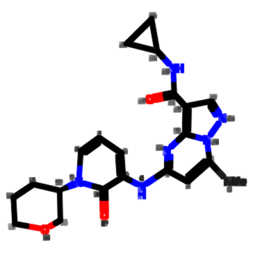 CNc1cc(Nc2cccn([C@@H]3CCCOC3)c2=O)nc2c(C(=O)NC3CC3)cnn12